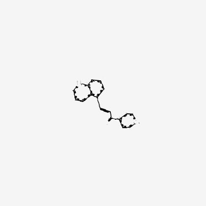 O=C(C=Cc1cccc2ncccc12)c1ccncc1